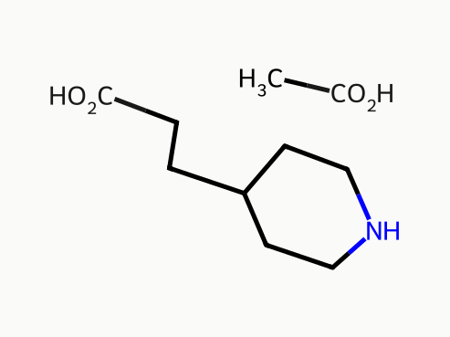 CC(=O)O.O=C(O)CCC1CCNCC1